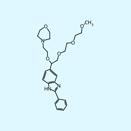 COCCOCCOCC(OCCN1CCOCC1)c1ccc2[nH]c(-c3ccccc3)nc2c1